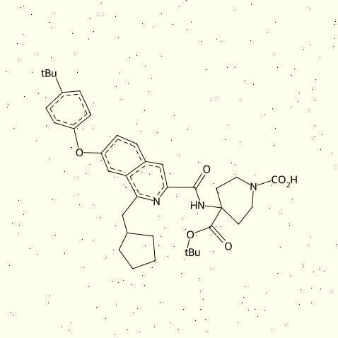 CC(C)(C)OC(=O)C1(NC(=O)c2cc3ccc(Oc4ccc(C(C)(C)C)cc4)cc3c(CC3CCCC3)n2)CCN(C(=O)O)CC1